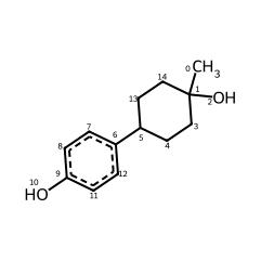 CC1(O)CCC(c2ccc(O)cc2)CC1